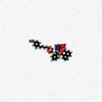 C[C@@H](S[C@H]1CO[C@H](/C=C/C=C/c2ccc(C#N)cc2F)OC1)[C@@](Cn1cncn1)(OC(=O)c1cccc2cccc(COP(=O)(O)O)c12)c1ccc(F)cc1F